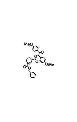 COc1ccc(C(=O)C(OC(=O)C2CCCN(C(=O)OCc3ccccc3)C2)c2ccc(OC)cc2)cc1